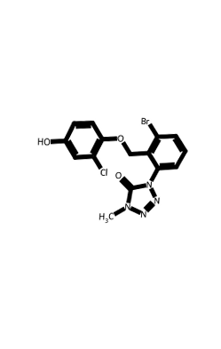 Cn1nnn(-c2cccc(Br)c2COc2ccc(O)cc2Cl)c1=O